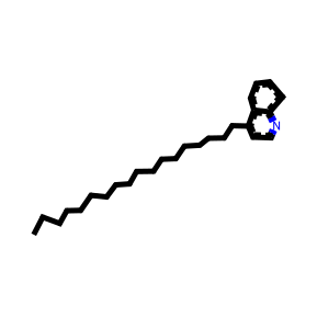 CCCCCCCCCCCCCCCCCCc1ccnc2ccccc12